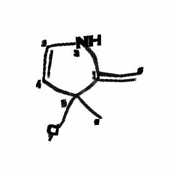 C=C1NC=CC1(C)Cl